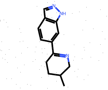 CC1CCC(c2ccc3cn[nH]c3c2)=NC1